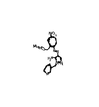 COCc1cc([N+](=O)[O-])ccc1N=Nc1cnn(Cc2cccnc2)c1N